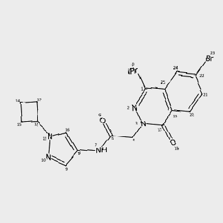 CC(C)c1nn(CC(=O)Nc2cnn(C3CCC3)c2)c(=O)c2ccc(Br)cc12